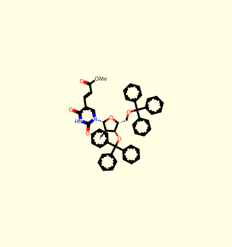 COC(=O)C=Cc1cn([C@@H]2O[C@H](COC(c3ccccc3)(c3ccccc3)c3ccccc3)[C@@H](OC(c3ccccc3)(c3ccccc3)c3ccccc3)[C@H]2I)c(=O)[nH]c1=O